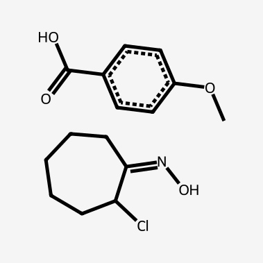 COc1ccc(C(=O)O)cc1.O/N=C1/CCCCCC1Cl